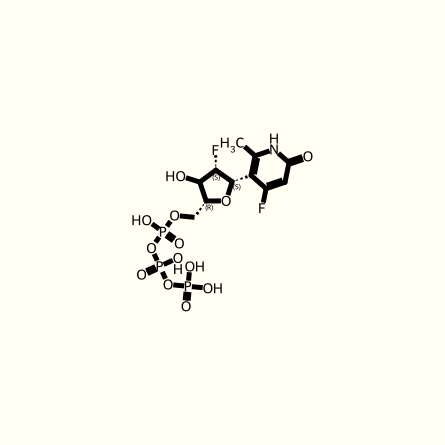 Cc1[nH]c(=O)cc(F)c1[C@@H]1O[C@H](COP(=O)(O)OP(=O)(O)OP(=O)(O)O)C(O)[C@@H]1F